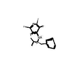 CC(C)[C@H](Cc1ccccc1)Nc1c(F)c(F)nc(F)c1F